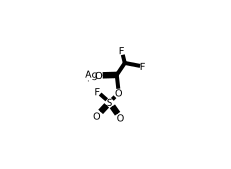 O=C(OS(=O)(=O)F)C(F)F.[Ag]